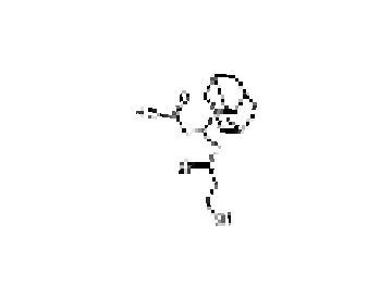 O=C(O)CC(OC(=O)CCS)C12CC3CC(CC(C3)C1)C2